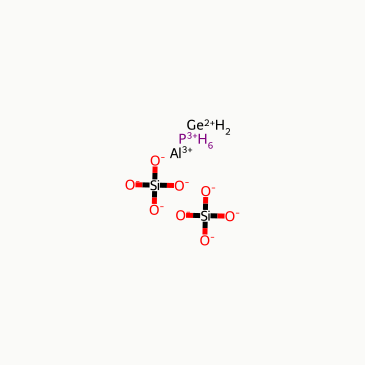 [Al+3].[GeH2+2].[O-][Si]([O-])([O-])[O-].[O-][Si]([O-])([O-])[O-].[PH6+3]